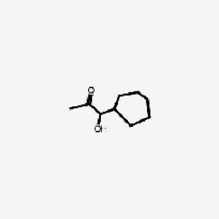 CC(=O)C(O)C1CCCCC1